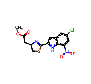 COC(=O)CC1CSC(c2cc3cc(Cl)cc([N+](=O)[O-])c3[nH]2)=N1